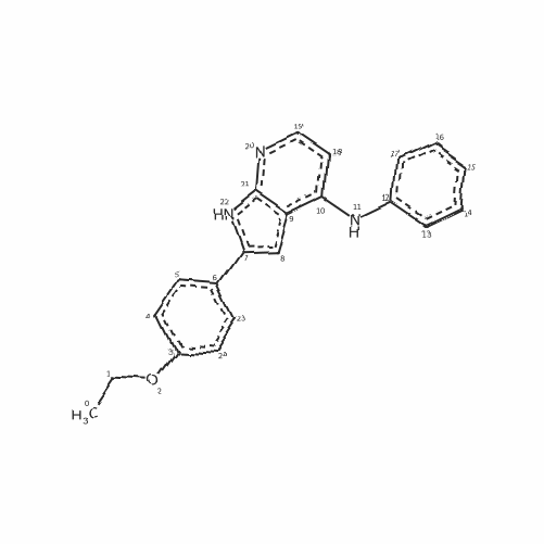 CCOc1ccc(-c2cc3c(Nc4ccccc4)ccnc3[nH]2)cc1